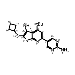 CC(C)(C)c1cc(-c2cnc(N)nc2)nc2sc(SC3CCC3)c(N)c12